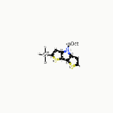 CCCCCCCCn1c2ccsc2c2s[c]([Sn]([CH3])([CH3])[CH3])cc21